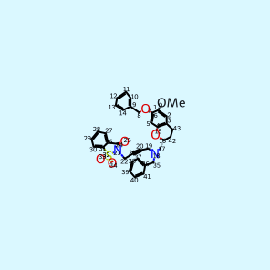 COc1cc2c(cc1OCc1ccccc1)O[C@@H](CN(CC#CCN1C(=O)c3ccccc3S1(=O)=O)Cc1ccccc1)CC2